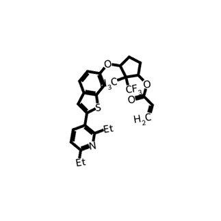 C=CC(=O)OC1CCC(Oc2ccc3cc(-c4ccc(CC)nc4CC)sc3c2)C1(C)C(F)(F)F